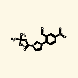 CC(C)(C)OC(=O)N1C=CN(c2ccc([N+](=O)[O-])cc2C=O)C1